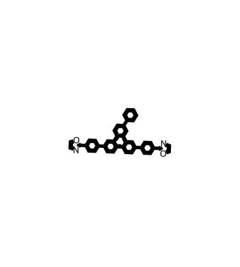 c1ccc(-c2ccc3c4cc(-c5ccc(-c6ncco6)cc5)ccc4c4ccc(-c5ccc(-c6ncco6)cc5)cc4c3c2)cc1